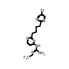 CCc1cnc(CCCCc2nccc(NC(N)=NCC(F)(F)F)n2)nc1